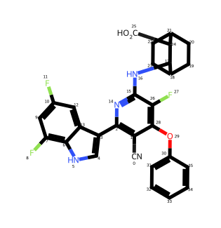 N#Cc1c(-c2c[nH]c3c(F)cc(F)cc23)nc(NC2C3CCC(CC3)C2C(=O)O)c(F)c1Oc1ccccc1